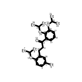 CCc1ccc(OC(CC)CC)c(CCC(=O)c2cccc(OC(CC)CC)c2OC(CC)CC)c1